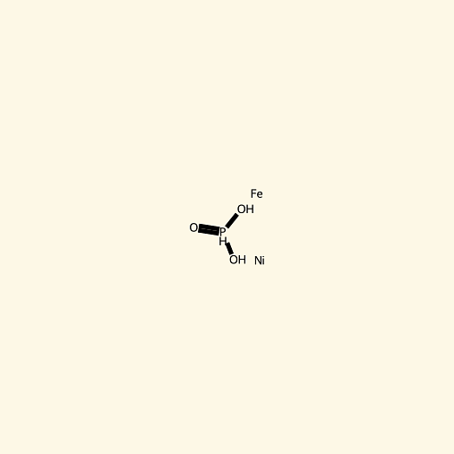 O=[PH](O)O.[Fe].[Ni]